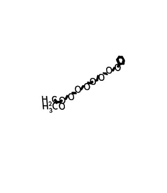 C=C(C)C(=O)OCCOCCOCCOCCOCCOCCOCCOc1ccccc1